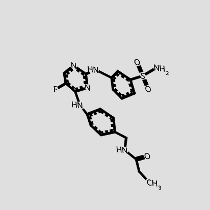 CCC(=O)NCc1ccc(Nc2nc(Nc3cccc(S(N)(=O)=O)c3)ncc2F)cc1